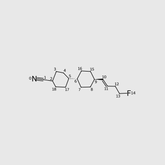 N#CC1CCC([C@H]2CC[C@H](/C=C/CCF)CC2)CC1